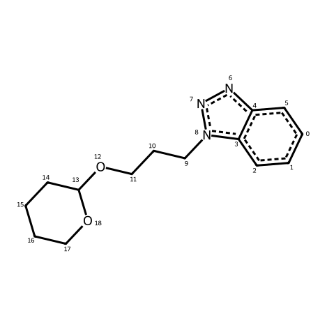 c1ccc2c(c1)nnn2CCCOC1CCCCO1